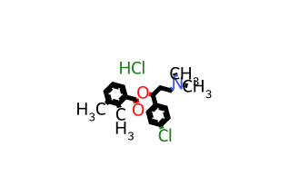 Cc1cccc(C(=O)OC(CCN(C)C)c2ccc(Cl)cc2)c1C.Cl